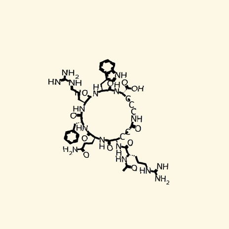 CC(=O)N[C@@H](CCCNC(=N)N)C(=O)N[C@H]1CCC(=O)NCCC[C@@H](C(=O)O)NC(=O)[C@H](Cc2c[nH]c3ccccc23)NC(O)[C@H](CCCNC(=N)N)NC(=O)[C@@H](Cc2ccccc2)NC(=O)[C@H](CCC(N)=O)NC1=O